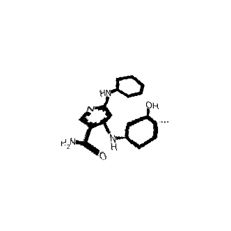 C[C@@H]1CC[C@@H](Nc2cc(NC3CCCCC3)ncc2C(N)=O)C[C@H]1O